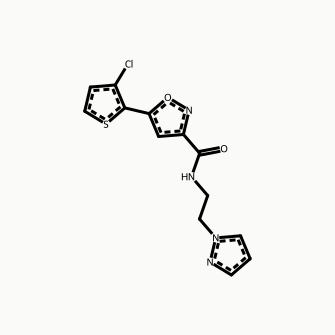 O=C(NCCn1cccn1)c1cc(-c2sccc2Cl)on1